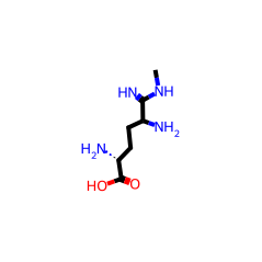 CNC(=N)C(N)CC[C@@H](N)C(=O)O